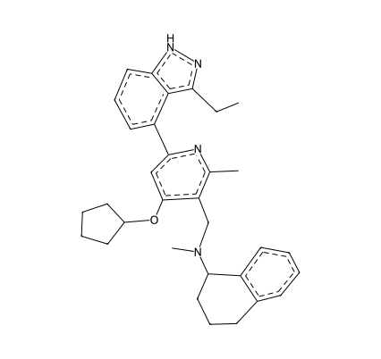 CCc1n[nH]c2cccc(-c3cc(OC4CCCC4)c(CN(C)C4CCCc5ccccc54)c(C)n3)c12